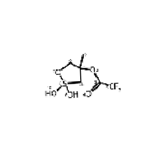 CC1(OC(=O)C(F)(F)F)COS(O)(O)C1